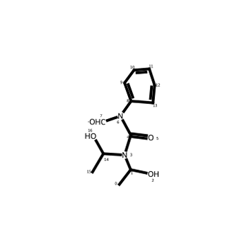 CC(O)N(C(=O)N([C]=O)c1ccccc1)C(C)O